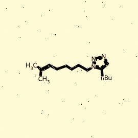 CCCCc1cnnn1CCCCCC=C(C)C